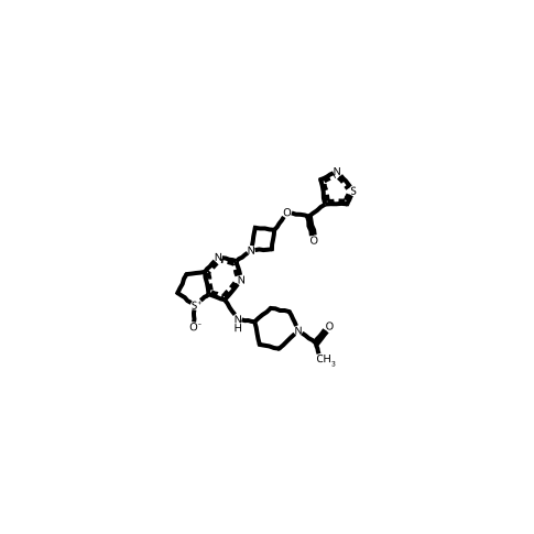 CC(=O)N1CCC(Nc2nc(N3CC(OC(=O)c4cnsc4)C3)nc3c2[S+]([O-])CC3)CC1